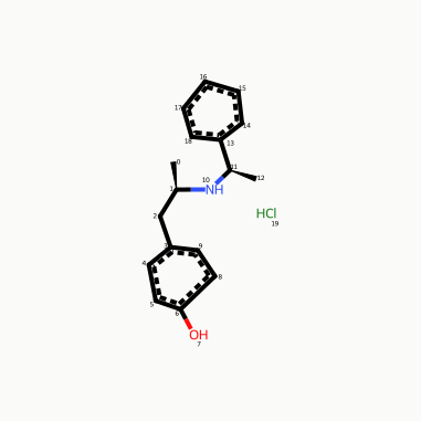 C[C@H](Cc1ccc(O)cc1)N[C@H](C)c1ccccc1.Cl